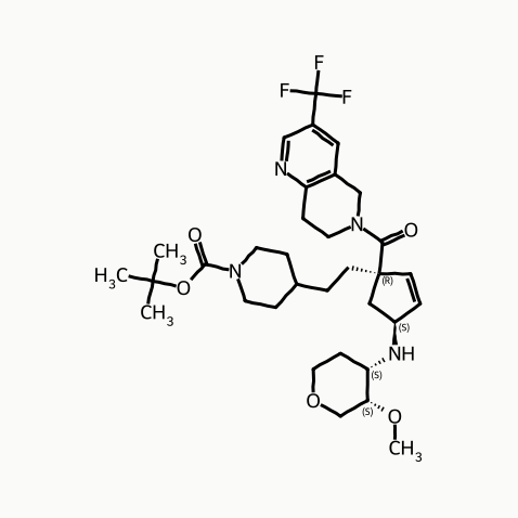 CO[C@@H]1COCC[C@@H]1N[C@@H]1C=C[C@](CCC2CCN(C(=O)OC(C)(C)C)CC2)(C(=O)N2CCc3ncc(C(F)(F)F)cc3C2)C1